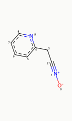 [O-][N+]#CCc1ccccn1